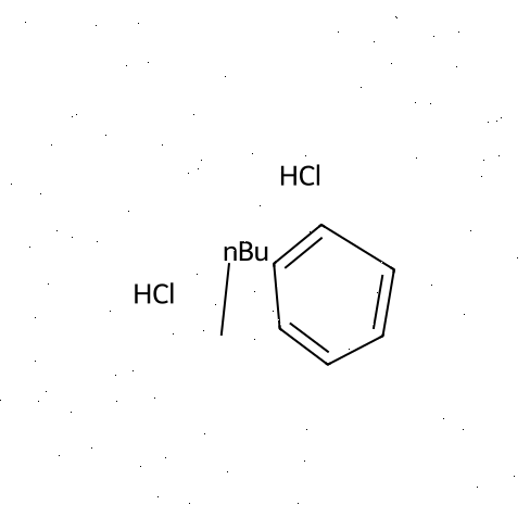 CCCCC.Cl.Cl.c1ccccc1